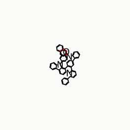 c1ccc(-c2cccc(-c3cc4c5ccccc5n(-c5ccccc5)c4cc3-c3cccc4c5ccccc5n(-c5ccc6oc7ccccc7c6c5)c34)n2)cc1